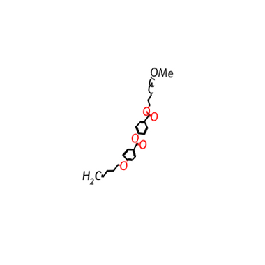 C=CCCCOc1ccc(C(=O)Oc2ccc(C(=O)OCCCCCCOC)cc2)cc1